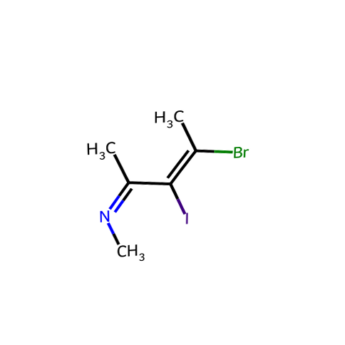 C/N=C(C)\C(I)=C(/C)Br